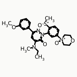 CCN(C)c1cc(-c2cccc(OC)c2)nn(-c2cc([N+]3([O-])CCOCC3)ccc2[S+](C)[O-])c1=O